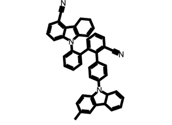 Cc1ccc2c(c1)C1C=CC=CC1N2c1ccc(-c2c(C#N)cccc2-c2ccccc2-n2c3c(c4c(C#N)cccc42)CCC=C3)cc1